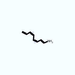 C=C/C=C\C=C/C=CN